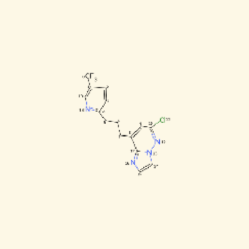 FC(F)(F)c1ccc(CCCc2cc(Cl)nn3ccnc23)nc1